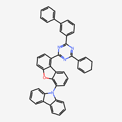 C1=CC(c2nc(-c3cccc(-c4ccccc4)c3)nc(-c3cccc4oc5c(-n6c7ccccc7c7ccccc76)cccc5c34)n2)=CCC1